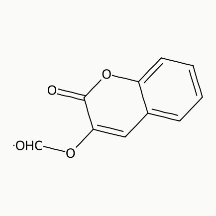 O=[C]Oc1cc2ccccc2oc1=O